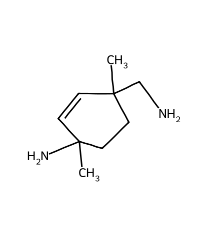 CC1(N)C=CC(C)(CN)CC1